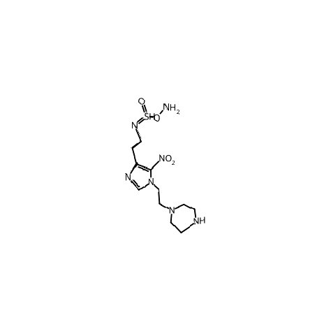 NO[SH](=O)=NCCc1ncn(CCN2CCNCC2)c1[N+](=O)[O-]